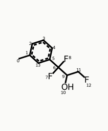 Cc1cccc(C(F)(F)C(O)CF)c1